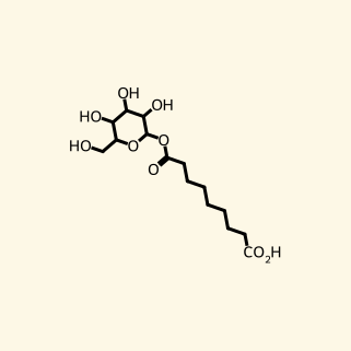 O=C(O)CCCCCCCC(=O)OC1OC(CO)C(O)C(O)C1O